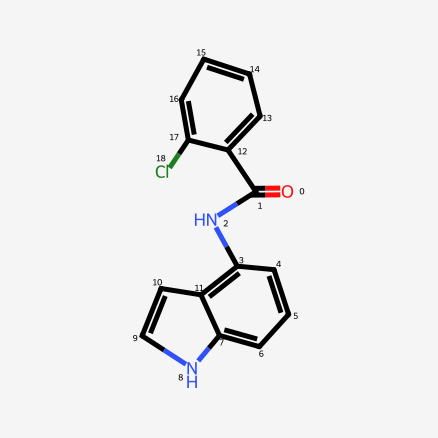 O=C(Nc1cccc2[nH]ccc12)c1ccccc1Cl